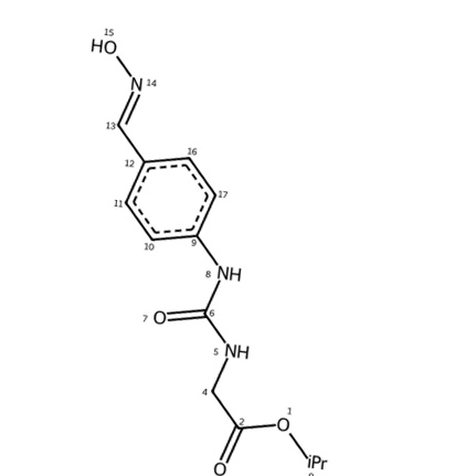 CC(C)OC(=O)CNC(=O)Nc1ccc(C=NO)cc1